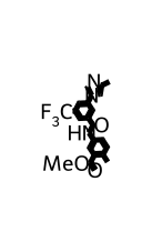 COC(=O)c1cc(NC(=O)c2cc(-n3cnc(C)c3)cc(C(F)(F)F)c2)ccc1C